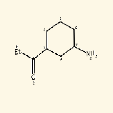 CCC(=O)C1CCCC(N)C1